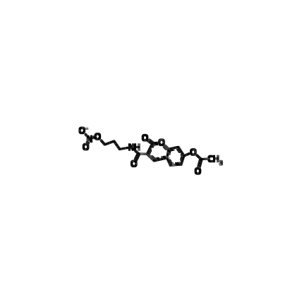 CC(=O)Oc1ccc2cc(C(=O)NCCCO[N+](=O)[O-])c(=O)oc2c1